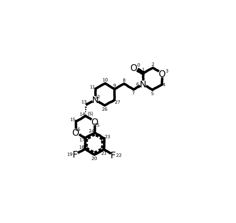 O=C1COCCN1CCC1CCN(C[C@H]2COc3c(F)cc(F)cc3O2)CC1